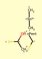 CC(O)[S-].CCCCCC[S-].[CH3][Sn+2][CH3]